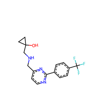 OC1(CNCc2ccnc(-c3ccc(C(F)(F)F)cc3)n2)CC1